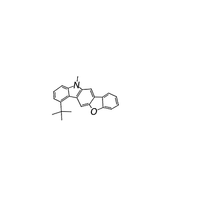 Cn1c2cc3c(cc2c2c(C(C)(C)C)cccc21)oc1ccccc13